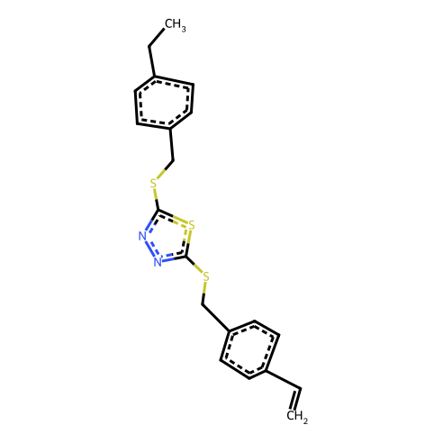 C=Cc1ccc(CSc2nnc(SCc3ccc(CC)cc3)s2)cc1